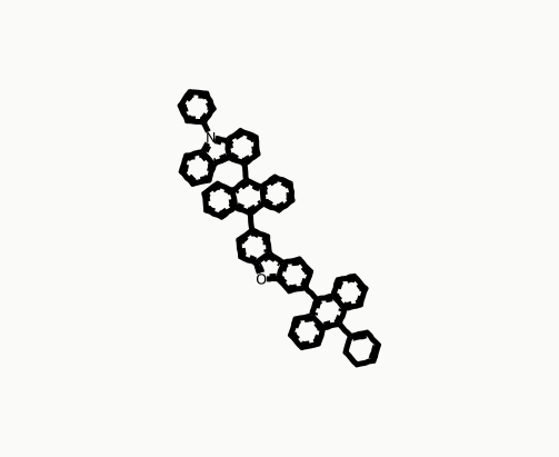 C1=CCCC(c2c3ccccc3c(-c3ccc4c(c3)oc3ccc(-c5c6ccccc6c(-c6cccc7c6c6ccccc6n7-c6ccccc6)c6ccccc56)cc34)c3ccccc23)=C1